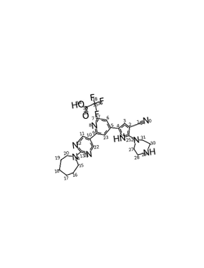 N#Cc1cc(-c2ccnc(-c3cnc(N4CCCCCC4)nc3)c2)[nH]c1N1CCNCC1.O=C(O)C(F)(F)F